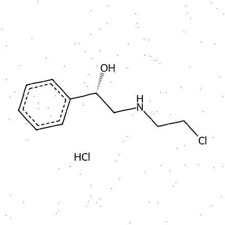 Cl.O[C@H](CNCCCl)c1ccccc1